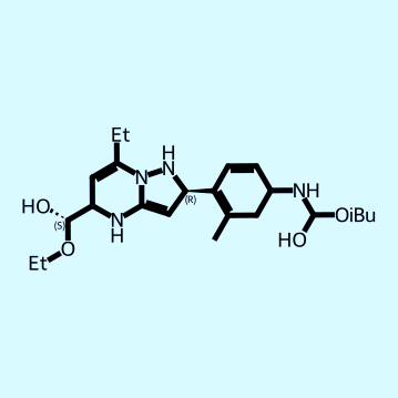 CCO[C@H](O)C1C=C(CC)N2N[C@@H](C3=C(C)CC(NC(O)OCC(C)C)C=C3)C=C2N1